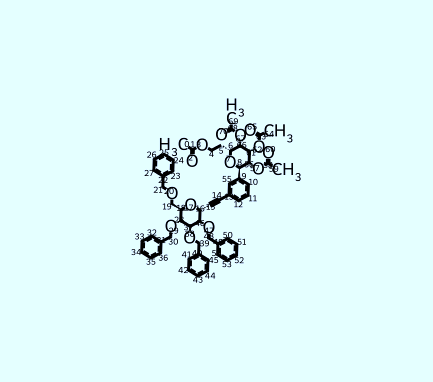 CC(=O)OCC[C@H]1O[C@H](c2cccc(C#C[C@H]3O[C@H](COCc4ccccc4)[C@@H](OCc4ccccc4)[C@H](OCc4ccccc4)[C@@H]3OCc3ccccc3)c2)[C@@H](OC(C)=O)[C@@H](OC(C)=O)[C@@H]1OC(C)=O